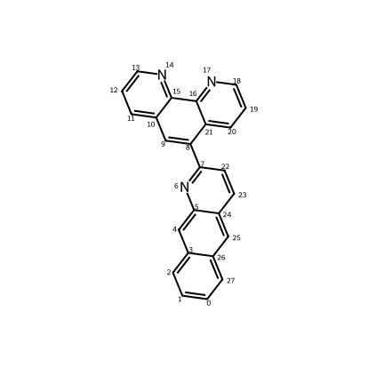 c1ccc2cc3nc(-c4cc5cccnc5c5ncccc45)ccc3cc2c1